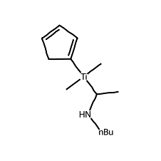 CCCCN[CH](C)[Ti]([CH3])([CH3])[C]1=CC=CC1